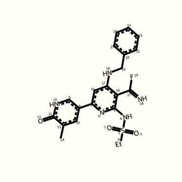 CCS(=O)(=O)Nc1nc(-c2c[nH]c(=O)c(C)c2)cc(NCc2ccccc2)c1C(=N)F